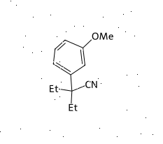 CCC(C#N)(CC)c1cccc(OC)c1